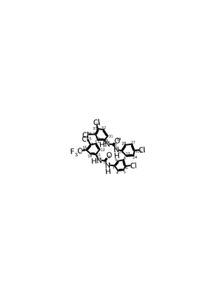 O=C(Nc1ccc(Cl)cc1)Nc1ccc(Cl)c(C(F)(F)F)c1.O=C(Nc1ccc(Cl)cc1)Nc1ccc(Cl)c(Cl)c1